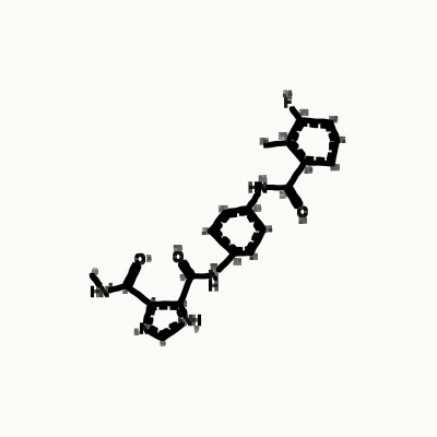 CNC(=O)c1nc[nH]c1C(=O)Nc1ccc(NC(=O)c2cccc(F)c2C)cc1